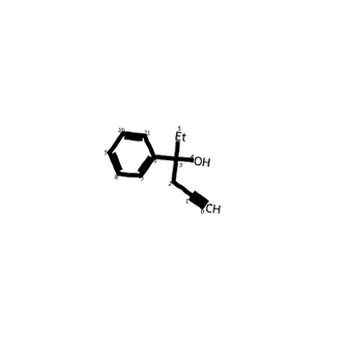 C#CCC(O)(CC)c1ccccc1